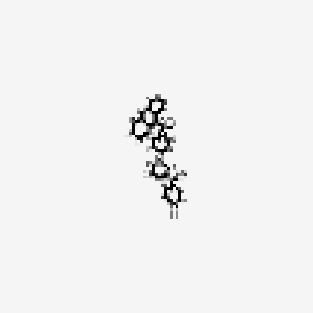 O=C(c1c2ccccc2cc2ccccc12)N1CCC(N2CCC[C@@H](C(=O)N3CCNCC3)C2)CC1